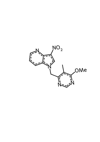 COc1ncnc(Cn2cc([N+](=O)[O-])c3ncccc32)c1C